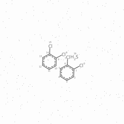 Clc1ccccc1Cl.Clc1ccccc1Cl.S